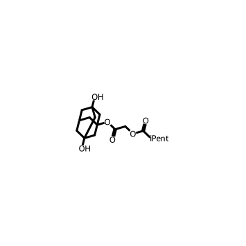 CCCC(C)C(=O)OCC(=O)OC12CC3CC(O)(CC(O)(C3)C1)C2